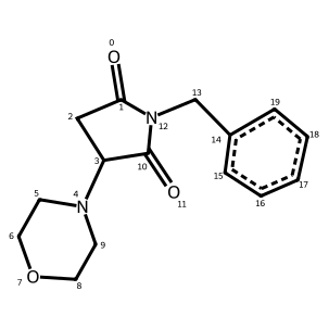 O=C1CC(N2CCOCC2)C(=O)N1Cc1ccccc1